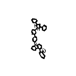 c1ccc(-c2cc(-c3ccccc3)nc(-c3cccc(-c4ccc(-n5c6ccccc6c6c7c(ccc65)oc5ccccc57)cc4)c3)n2)cc1